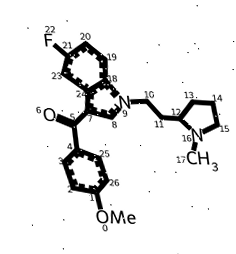 COc1ccc(C(=O)c2cn(CCC3CCCN3C)c3ccc(F)cc23)cc1